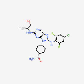 CC(CO)Nc1ncc2nc(Nc3c(F)cc(Cl)cc3F)n([C@H]3CC[C@@H](C(N)=O)CC3)c2n1